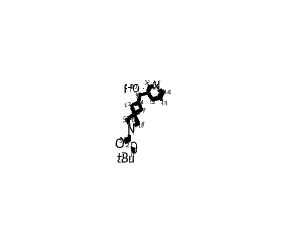 CC(C)(C)OC(=O)N1CC2(CC(C(O)c3cccnc3)C2)C1